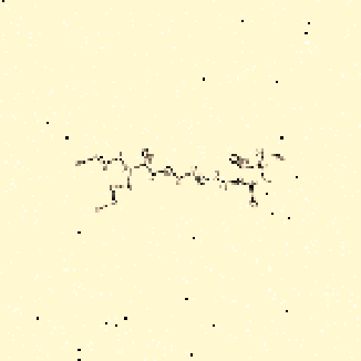 CCCCC(CCCC)C(=O)COCCOCCN1C(=O)CC(CC)C1=O